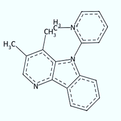 Cc1cnc2c3ccccc3n(-c3cccc[n+]3C)c2c1C